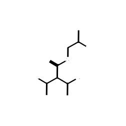 CC(O)CNC(=O)C(C(C)S)C(C)S